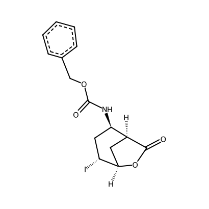 O=C(N[C@@H]1C[C@@H](I)[C@H]2C[C@@H]1C(=O)O2)OCc1ccccc1